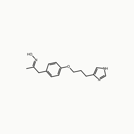 CC(Cc1ccc(OCCCc2c[nH]cn2)cc1)=NO